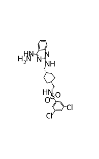 NNc1nc(NC[C@H]2CC[C@H](CNS(=O)(=O)c3cc(Cl)cc(Cl)c3)CC2)nc2ccccc12